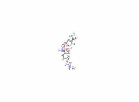 CCCN1CC(c2ccc(NS(=O)(=O)c3ccc([C@@H](C)CF)cc3)cc2)C1